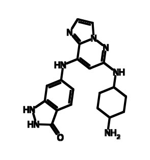 NC1CCC(Nc2cc(Nc3ccc4c(=O)[nH][nH]c4c3)c3nccn3n2)CC1